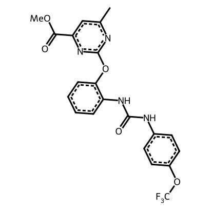 COC(=O)c1cc(C)nc(Oc2ccccc2NC(=O)Nc2ccc(OC(F)(F)F)cc2)n1